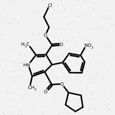 CC1=C(C(=O)OCCCl)C(c2cccc([N+](=O)[O-])c2)C(C(=O)OC2CCCC2)=C(C)N1